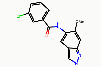 COc1cc2n[nH]cc2cc1NC(=O)c1cccc(Cl)c1